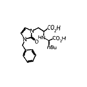 CCCCC(NC(Cn1ccn(Cc2ccccc2)c1=O)C(=O)O)C(=O)O